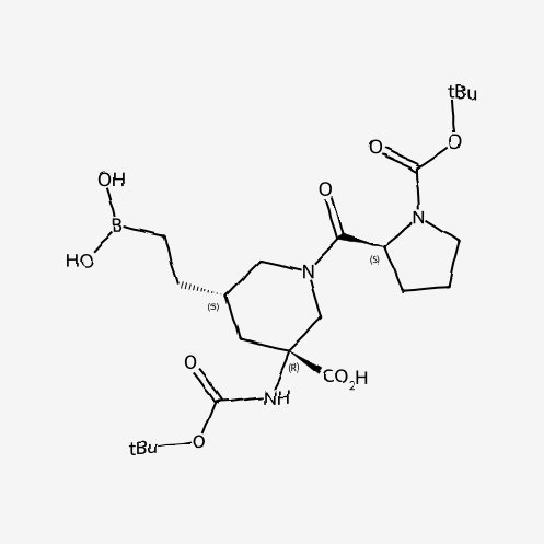 CC(C)(C)OC(=O)N[C@]1(C(=O)O)C[C@H](CCB(O)O)CN(C(=O)[C@@H]2CCCN2C(=O)OC(C)(C)C)C1